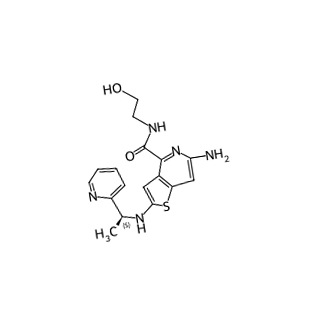 C[C@H](Nc1cc2c(C(=O)NCCO)nc(N)cc2s1)c1ccccn1